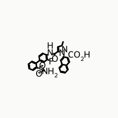 Cc1cc(C(=O)Nc2ccc(-c3ccccc3S(N)(=O)=O)cc2F)n(-c2cc3ccccc3cc2C(=O)O)n1